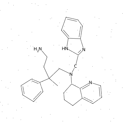 CC(CCN)(CN(Cc1nc2ccccc2[nH]1)C1CCCc2cccnc21)c1ccccc1